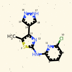 Cc1sc(Nc2cccc(Cl)n2)nc1-c1cn[nH]c1